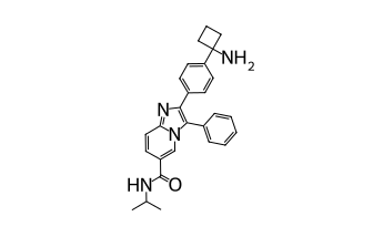 CC(C)NC(=O)c1ccc2nc(-c3ccc(C4(N)CCC4)cc3)c(-c3ccccc3)n2c1